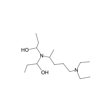 CCC(O)N(C(C)CCCN(CC)CC)C(O)CC